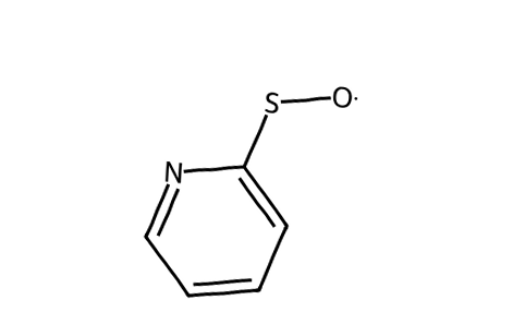 [O]Sc1ccccn1